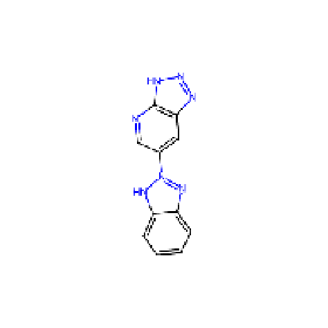 c1ccc2[nH][n+](-c3cnc4[nH]nnc4c3)nc2c1